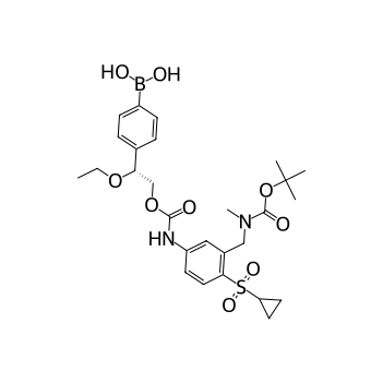 CCO[C@@H](COC(=O)Nc1ccc(S(=O)(=O)C2CC2)c(CN(C)C(=O)OC(C)(C)C)c1)c1ccc(B(O)O)cc1